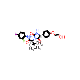 CC(C)(C)[C@@H](C(=O)Nc1ccc(I)cc1F)N1C(=O)N[C@H](c2ccc(OCCO)cc2)C1=O